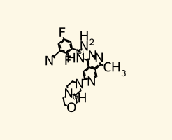 Cc1nnc(N[C@H](N)c2cc(F)cc(C#N)c2F)c2cc(N3CCN4CCOC[C@@H]4C3)ncc12